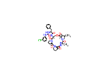 C[C@@H]1C[C@H]2C(=O)OC[C@H](NC(=O)[C@H](Cc3ccccc3)NC(=O)Nc3cccc(Cl)c3)C(=O)N3CCC[C@H]3C(=O)N3CCCC[C@H]3C(=O)N[C@@H](C)C(=O)N2C1